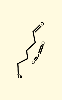 O=CCCC[CH2][Ta].[O]=[Ti]=[O]